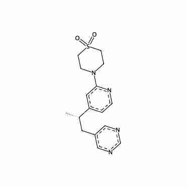 C[C@@H](Cc1cncnc1)c1ccnc(N2CCS(=O)(=O)CC2)c1